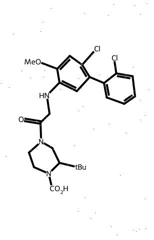 COc1cc(Cl)c(-c2ccccc2Cl)cc1NCC(=O)N1CCN(C(=O)O)C(C(C)(C)C)C1